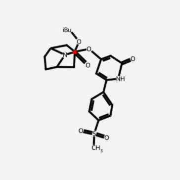 CCC(C)OC(=O)N1C2CCC1CC(Oc1cc(-c3ccc(S(C)(=O)=O)cc3)[nH]c(=O)c1)C2